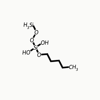 CCCCCO[Si](O)(O)OO[SiH3]